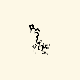 C=CN(CCCCc1nc(-c2ccccc2F)no1)C(=O)N(CCC)c1nc(Cl)[nH]c1CC